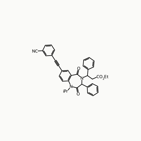 CCOC(=O)CC(c1ccccc1)N1C(=O)c2cc(C#Cc3cccc(C#N)c3)ccc2N(C(C)C)C(=O)C1c1ccccc1